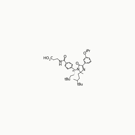 CC(C)Oc1cccc(C2=NC(C)(CCC(C)C(C)(C)C)N([C@H](CCC(C)(C)C)c3ccc(C(=O)NCCC(=O)O)cc3)C2=O)c1